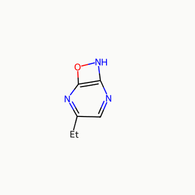 CCc1cnc2[nH]oc2n1